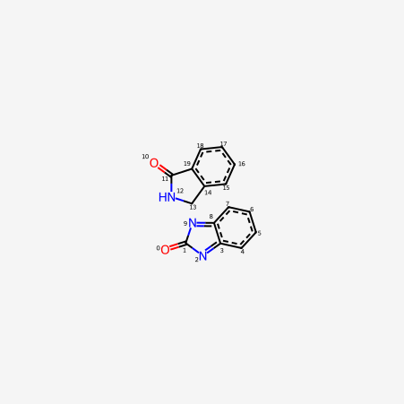 O=C1N=c2ccccc2=N1.O=C1NCc2ccccc21